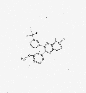 COc1cc(-c2nc3ccc(=O)[nH]c3nc2-c2cccc(C(F)(F)F)c2)ccn1